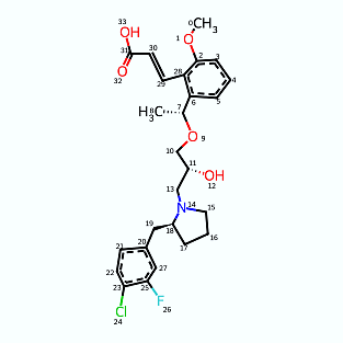 COc1cccc([C@@H](C)OC[C@H](O)CN2CCC[C@H]2Cc2ccc(Cl)c(F)c2)c1/C=C/C(=O)O